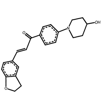 O=C(C=Cc1ccc2c(c1)CCO2)c1ccc(N2CCC(O)CC2)cc1